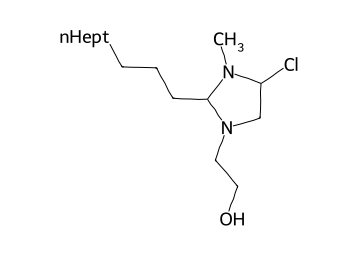 CCCCCCCCCCC1N(CCO)CC(Cl)N1C